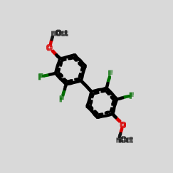 CCCCCCCCOc1ccc(-c2ccc(OCCCCCCCC)c(F)c2F)c(F)c1F